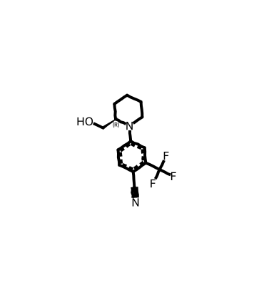 N#Cc1ccc(N2CCCC[C@@H]2CO)cc1C(F)(F)F